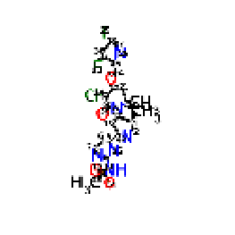 Cc1cnc(-c2ccnc(NS(C)(=O)=O)n2)cc1-n1c(C)cc(OCc2ncc(F)cc2F)c(Cl)c1=O